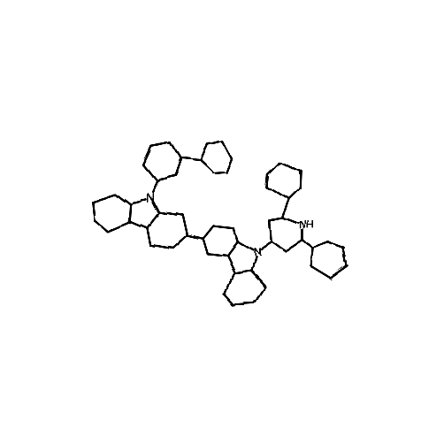 C1CCC(C2CCCC(N3C4CCCCC4C4CCC(C5CCC6C(C5)C5CCCCC5N6C5CC(C6CCCCC6)NC(C6CCCCC6)C5)CC43)C2)CC1